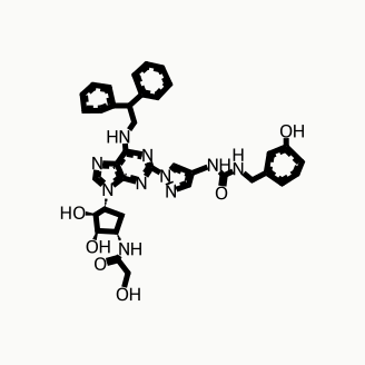 O=C(CO)N[C@H]1C[C@@H](n2cnc3c(NCC(c4ccccc4)c4ccccc4)nc(-n4cc(NC(=O)NCc5cccc(O)c5)cn4)nc32)[C@H](O)[C@@H]1O